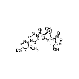 CCc1cnc(N2CCN(C(=O)c3ccc(N4C(=O)OC[C@H]4CO)cc3C)CC2)c(C)c1